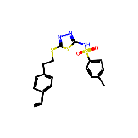 C=Cc1ccc(CCSc2nnc(NS(=O)(=O)c3ccc(C)cc3)s2)cc1